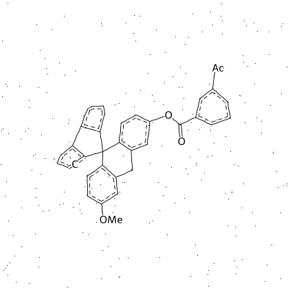 COc1ccc2c(c1)Cc1cc(OC(=O)c3cccc(C(C)=O)c3)ccc1C21c2ccccc2-c2ccccc21